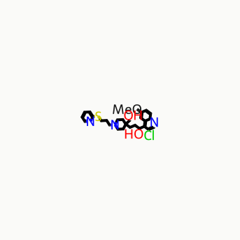 COc1ccc2ncc(Cl)c([C@H](O)CCC3(CO)CCN(CCCSc4ccccn4)CC3)c2c1